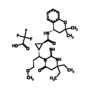 CCC1(CC)CC(=O)N(C(CCOC)[C@@H]2C[C@H]2C(=O)N[C@H]2CC(C)(C)Oc3ccccc32)C(=N)N1.O=C(O)C(F)(F)F